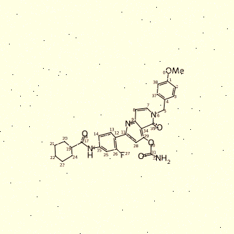 COc1ccc(Cn2ccc3nc(-c4ccc(NC(=O)C5CCCCC5)cc4F)cc(OC(N)=O)c3c2=O)cc1